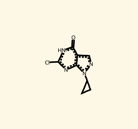 O=c1[nH]c(Cl)nc2c1cnn2C1CC1